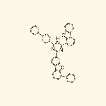 c1ccc(-c2ccc(C3N=C(c4ccc5c(c4)oc4c(-c6ccccc6)cccc45)N=C(c4cccc5c4oc4ccccc45)N3)cc2)cc1